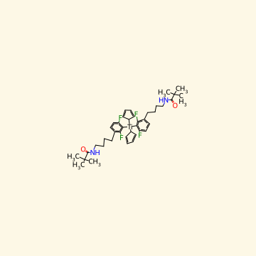 CC(C)(C)C(=O)NCCCCc1ccc(F)[c]([Ti]([c]2c(F)ccc(CCCCNC(=O)C(C)(C)C)c2F)([CH]2C=CC=C2)[CH]2C=CC=C2)c1F